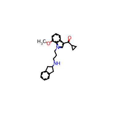 COc1cccc2c(C(=O)C3CC3)cn(CCCNC3Cc4ccccc4C3)c12